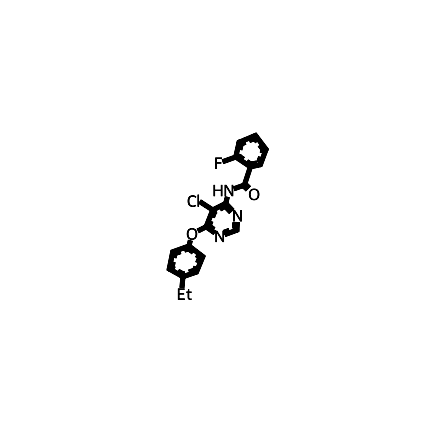 CCc1ccc(Oc2ncnc(NC(=O)c3ccccc3F)c2Cl)cc1